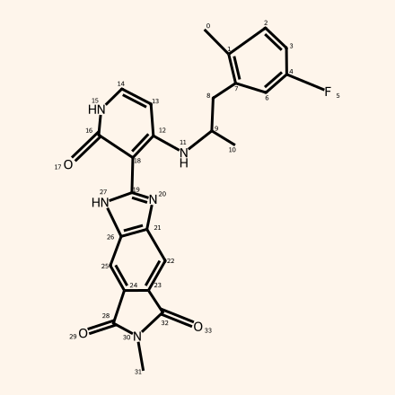 Cc1ccc(F)cc1CC(C)Nc1cc[nH]c(=O)c1-c1nc2cc3c(cc2[nH]1)C(=O)N(C)C3=O